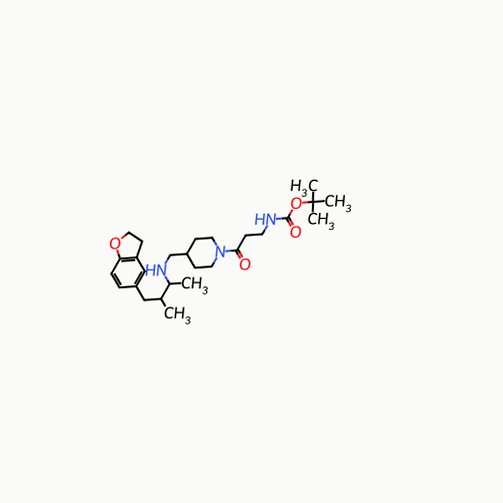 CC(Cc1ccc2c(c1)CCO2)C(C)NCC1CCN(C(=O)CCNC(=O)OC(C)(C)C)CC1